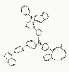 C=C1/C=C\C=C/Cc2ccccc2/C(c2ccc(N(c3ccc(-c4ccc(-c5cccc6ccccc56)cc4)cc3)c3cccc(-c4cccc5c4c4cc6ccccc6cc4n5C4=CCC=CC=C4)c3)cc2)=C\1